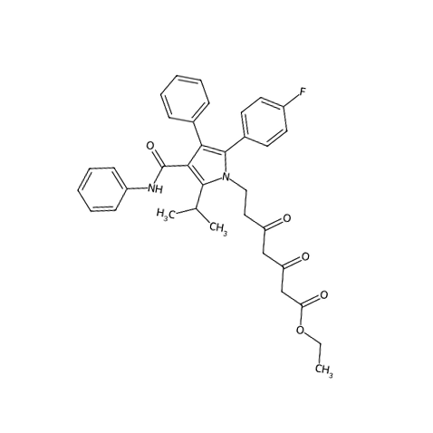 CCOC(=O)CC(=O)CC(=O)CCn1c(-c2ccc(F)cc2)c(-c2ccccc2)c(C(=O)Nc2ccccc2)c1C(C)C